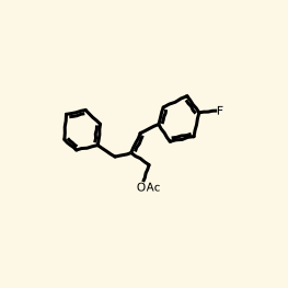 CC(=O)OC/C(=C\c1ccc(F)cc1)Cc1ccccc1